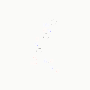 CN(C(=O)Cc1ccc2nc(Nc3ccccc3Cl)oc2c1)c1ccc(C2CN(C(=O)CN3CCOCC3)CC2C(=O)O)cc1